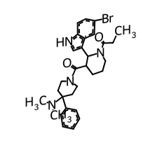 CCC(=O)N1CCCC(C(=O)N2CCC(c3ccccc3)(N(C)C)CC2)C1c1c[nH]c2ccc(Br)cc12